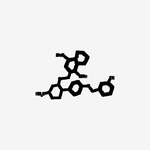 COc1cc(COC2CN(C(=O)O)CCC2c2ccc(OCc3cccc(C#N)c3)cc2)c(OC)c2ccccc12